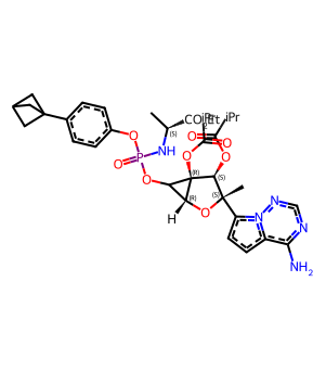 CCOC(=O)[C@H](C)NP(=O)(Oc1ccc(C23CC(C2)C3)cc1)OC1[C@H]2O[C@@](C)(c3ccc4c(N)ncnn34)[C@H](OC(=O)C(C)C)[C@@]12OC(=O)C(C)C